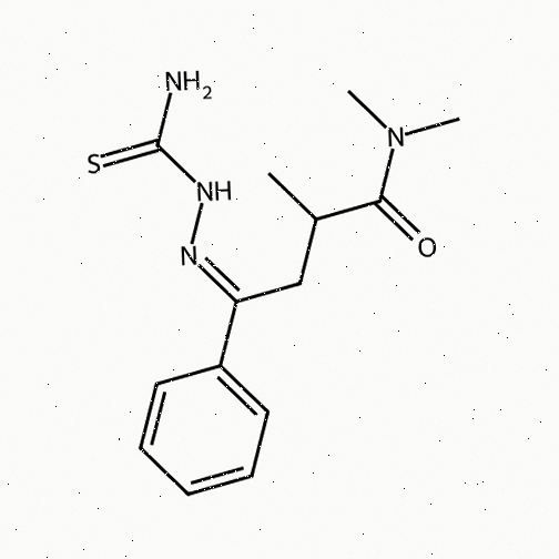 CC(CC(=NNC(N)=S)c1ccccc1)C(=O)N(C)C